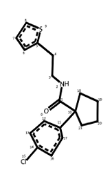 O=C(NCCc1cccs1)C1(c2ccc(Cl)cc2)CCCC1